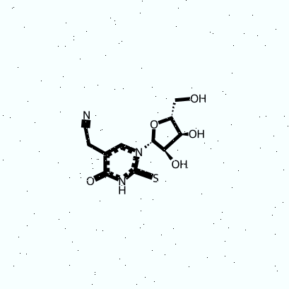 N#CCc1cn([C@@H]2O[C@H](CO)[C@@H](O)[C@H]2O)c(=S)[nH]c1=O